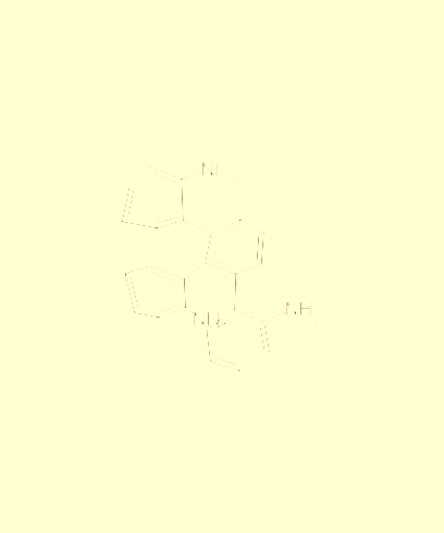 Nc1ccccc1-c1cccc(-c2ccccc2N)c1-c1ccccc1N